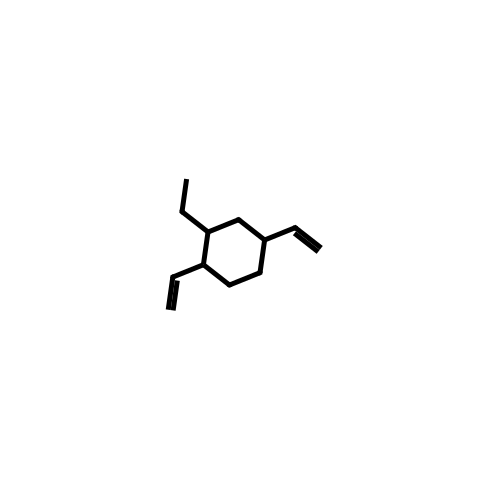 C=CC1CCC(C=C)C(CC)C1